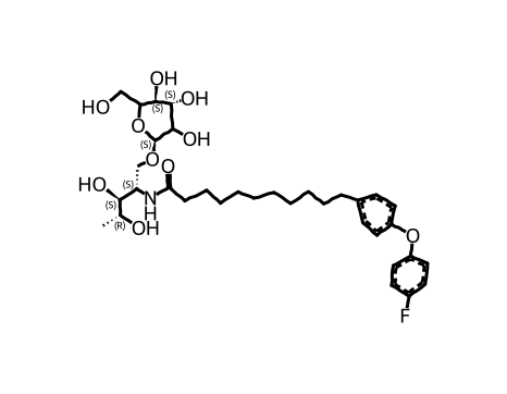 C[C@@H](O)[C@@H](O)[C@H](CO[C@H]1OC(CO)[C@@H](O)[C@H](O)C1O)NC(=O)CCCCCCCCCCc1ccc(Oc2ccc(F)cc2)cc1